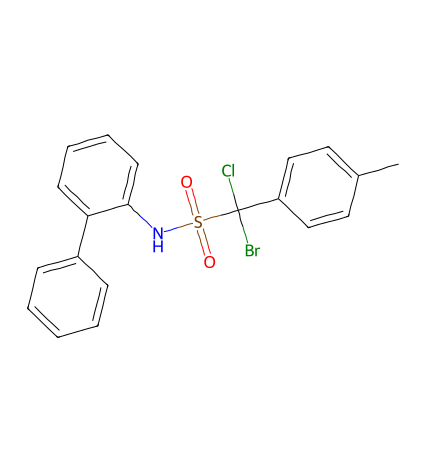 Cc1ccc(C(Cl)(Br)S(=O)(=O)Nc2ccccc2-c2ccccc2)cc1